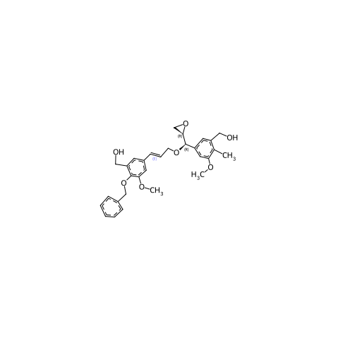 COc1cc([C@@H](OC/C=C/c2cc(CO)c(OCc3ccccc3)c(OC)c2)[C@H]2CO2)cc(CO)c1C